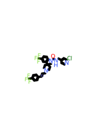 O=C(NCc1ccnc(Cl)c1)N1CC2(CCN(C/C=C/c3ccc(C(F)(F)F)cc3)CC2)c2cc(C(F)(F)F)ccc21